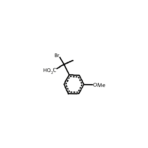 COc1cccc(C(C)(Br)C(=O)O)c1